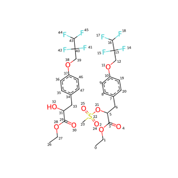 CCOC(=O)C(Cc1ccc(OCC(F)(F)C(F)F)cc1)OS(C)(=O)=O.CCOC(=O)C(O)Cc1ccc(OCC(F)(F)C(F)F)cc1